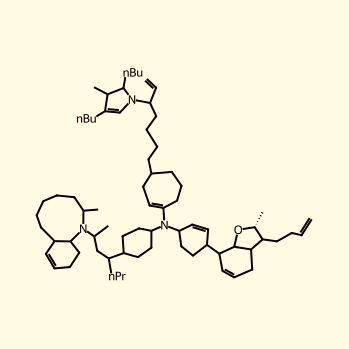 C=CCCC1C2CC=CC(C3C=CC(N(C4=CCC(CCCCC(C=C)N5C=C(CCCC)C(C)C5CCCC)CCC4)C4CCC(C(CCC)CC(C)N5C(C)CCCCCC6C=CCCC65)CC4)CC3)C2O[C@@H]1C